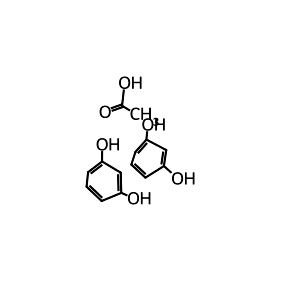 CC(=O)O.Oc1cccc(O)c1.Oc1cccc(O)c1